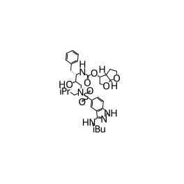 CCC(C)Nc1n[nH]c2ccc(S(=O)(=O)N(CC(C)C)C[C@@H](O)[C@H](Cc3ccccc3)NC(=O)OC3CO[C@H]4OCC[C@@H]34)cc12